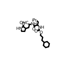 CC(C)CC(NC(=O)OCCCC1CCCCC1)C(=O)NC(C=O)CC1CCNC1=O